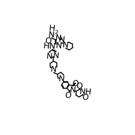 NC(=O)c1nnc(N2CCCCC2)nc1Nc1cnc(C2CCN(CC3CCN(c4ccc5c(c4)C(=O)N(C4CCC(=O)NC4=O)C5=O)C3)CC2)nc1